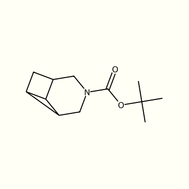 CC(C)(C)OC(=O)N1CC2CC3C(C1)C23